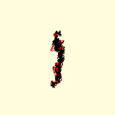 C=C(C)C(=C)OCCc1ccc(N2C(=O)c3ccc(Oc4ccc(C(C)(C)c5ccc(Oc6ccc7c(c6)C(=O)N(c6ccc(CCOC(=O)C(=C)C)cc6)C7=O)cc5)cc4)cc3C2=O)cc1